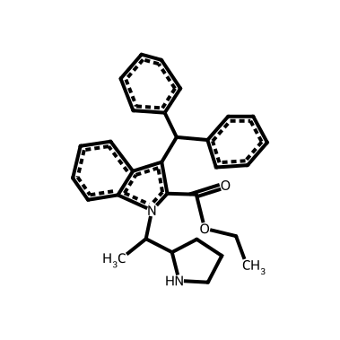 CCOC(=O)c1c(C(c2ccccc2)c2ccccc2)c2ccccc2n1C(C)C1CCCN1